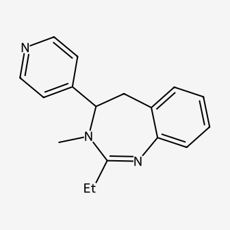 CCC1=Nc2ccccc2CC(c2ccncc2)N1C